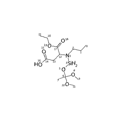 CCCN([SiH2]OC(C)(OC)OC)C(CC(=O)O)C(=O)OCC